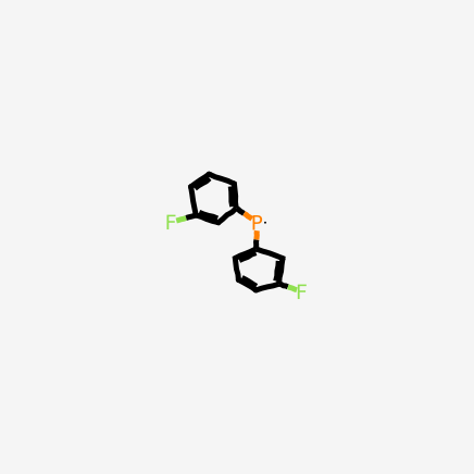 Fc1cccc([P]c2cccc(F)c2)c1